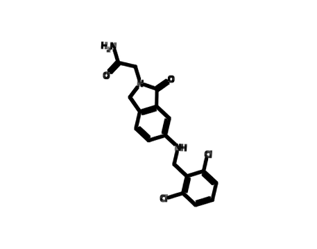 NC(=O)CN1Cc2ccc(NCc3c(Cl)cccc3Cl)cc2C1=O